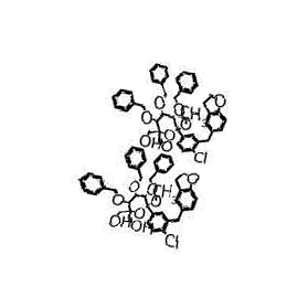 CO[C@@]1(c2ccc(Cl)c(Cc3ccc4c(c3)CCO4)c2)OC(CO)(CO)[C@@H](OCc2ccccc2)[C@H](OCc2ccccc2)[C@H]1OCc1ccccc1.CO[C@@]1(c2ccc(Cl)c(Cc3ccc4c(c3)CCO4)c2)O[C@@](C=O)(CO)[C@@H](OCc2ccccc2)[C@H](OCc2ccccc2)[C@H]1OCc1ccccc1